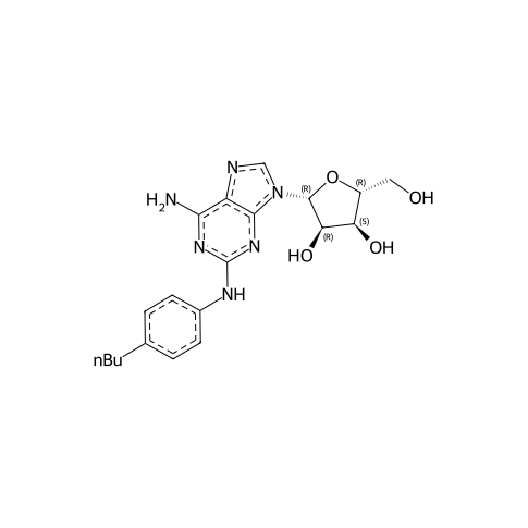 CCCCc1ccc(Nc2nc(N)c3ncn([C@@H]4O[C@H](CO)[C@@H](O)[C@H]4O)c3n2)cc1